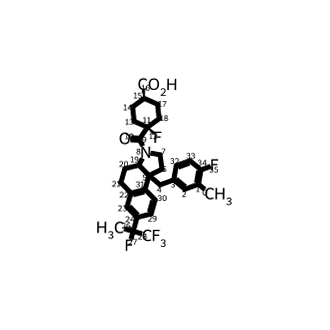 Cc1cc(CC23CCN(C(=O)[C@]4(F)CC[C@@H](C(=O)O)CC4)C2CCc2cc(C(C)(F)C(F)(F)F)ccc23)ccc1F